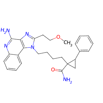 COCCc1nc2c(N)nc3ccccc3c2n1CCCCC1(C(N)=O)CC1c1ccccc1